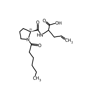 C=CCC(NC(=O)[C@@H]1CCCN1C(=O)CCCCC)C(=O)O